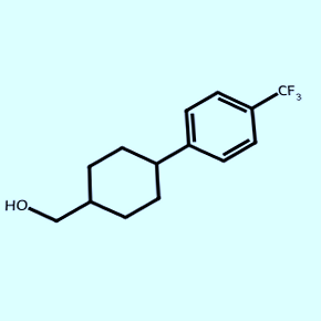 OCC1CCC(c2ccc(C(F)(F)F)cc2)CC1